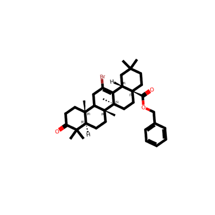 CC1(C)CC[C@]2(C(=O)OCc3ccccc3)CC[C@]3(C)C(=C(Br)CC4[C@@]5(C)CCC(=O)C(C)(C)[C@@H]5CC[C@]43C)[C@@H]2C1